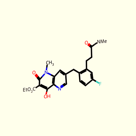 CCOC(=O)c1c(O)c2ncc(Cc3ccc(F)cc3CCC(=O)NC)cc2n(C)c1=O